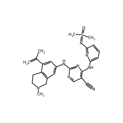 C=C(C)c1cc(Nc2ncc(C#N)c(Nc3cccc(N=S(C)(C)=O)n3)n2)cc2c1CCN(C)C2